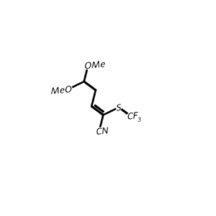 COC(CC=C(C#N)SC(F)(F)F)OC